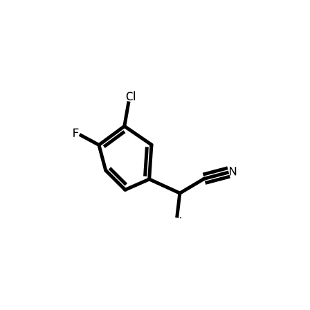 [CH2]C(C#N)c1ccc(F)c(Cl)c1